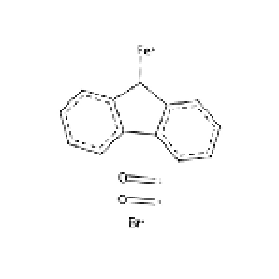 [Br-].[C]=O.[C]=O.[Fe+][CH]1c2ccccc2-c2ccccc21